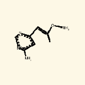 C/C(=C\c1cc(N)ncn1)ON